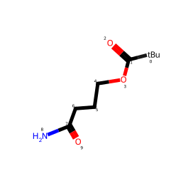 CC(C)(C)C(=O)OCCCC(N)=O